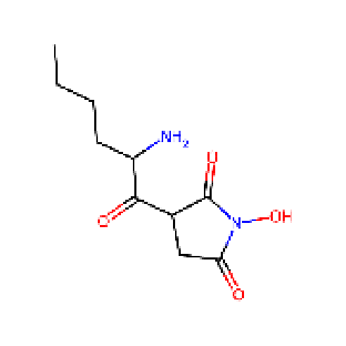 CCCCC(N)C(=O)C1CC(=O)N(O)C1=O